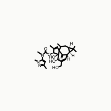 CC1=CC23C(=O)[C@@H](C=C(CO)[C@@H](O)[C@]2(O)[C@H]1OC(=O)N(C)c1cc(C)nn1C)[C@H]1[C@@H](CC3C)C1(C)C